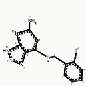 Nc1cc(OCc2ccccc2F)c2nn[nH]c2n1